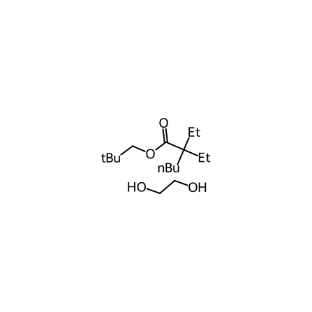 CCCCC(CC)(CC)C(=O)OCC(C)(C)C.OCCO